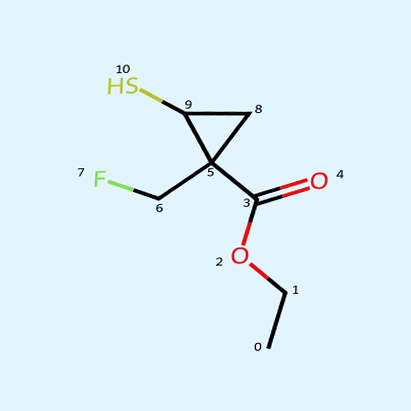 CCOC(=O)C1(CF)CC1S